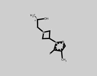 Cc1cnn(C2CN(C[C@H](C)O)C2)c1I